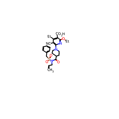 C=CCN(C(=O)C1CCN(c2nc(OCC)c(C(=O)O)c(CC)c2C#N)CC1)S(=O)(=O)Cc1ccccc1